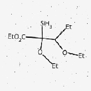 CCOC(=O)C([SiH3])(OCC)C(CC)OCC